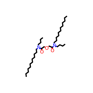 CCCCCCCCCCCCN(CCCC)C(=O)COCC(=O)N(CCCC)CCCCCCCCCCCC